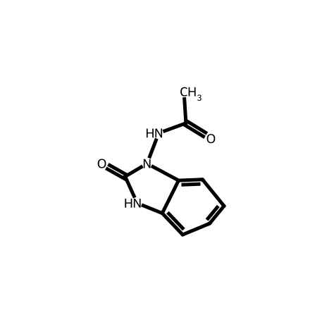 CC(=O)Nn1c(=O)[nH]c2ccccc21